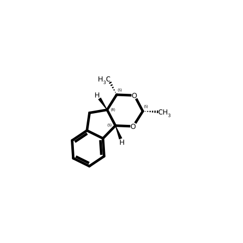 C[C@H]1O[C@@H](C)[C@H]2Cc3ccccc3[C@H]2O1